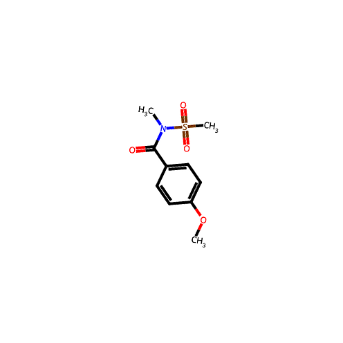 COc1ccc(C(=O)N(C)S(C)(=O)=O)cc1